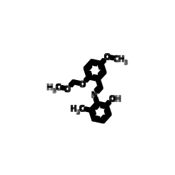 COCOc1ccc(OC)cc1C=Nc1c(C)cccc1O